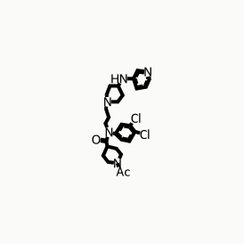 CC(=O)N1CCC(C(=O)N(CCCN2CCC(Nc3cccnc3)CC2)c2ccc(Cl)c(Cl)c2)CC1